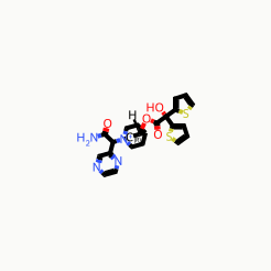 NC(=O)C(c1cnccn1)[N+]12CCC(CC1)[C@@H](OC(=O)C(O)(c1cccs1)c1cccs1)C2